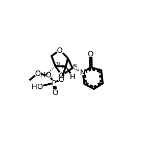 COC[C@@]12COC([C@H](n3ccccc3=O)O1)[C@@H]2OP(=O)(O)O